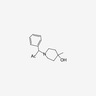 CC(=O)C(c1ccccc1)N1CCC(C)(O)CC1